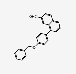 O=Cc1ccc2cncc(-c3ccc(OCc4ccccc4)cc3)c2c1